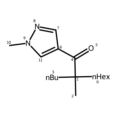 CCCCCCC(C)(CCCC)C(=O)c1cnn(C)c1